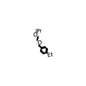 CCc1ccc(COCCOC(C)C)cc1